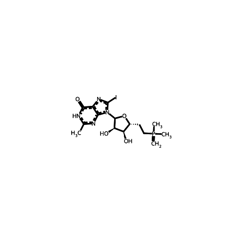 C=P(C)(C)CC[C@H]1OC(n2c(I)nc3c(=O)[nH]c(C)nc32)[C@H](O)[C@@H]1O